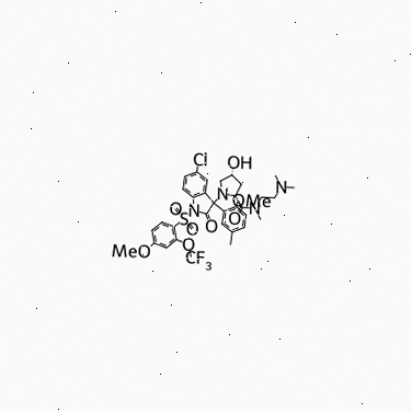 COc1ccc(S(=O)(=O)N2C(=O)C(c3cc(C)ccc3OC)(N3C[C@H](O)C[C@H]3C(=O)N(C)CCN(C)C)c3cc(Cl)ccc32)c(OC(F)(F)F)c1